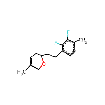 CC1=CCC(CCc2ccc(C)c(F)c2F)OC1